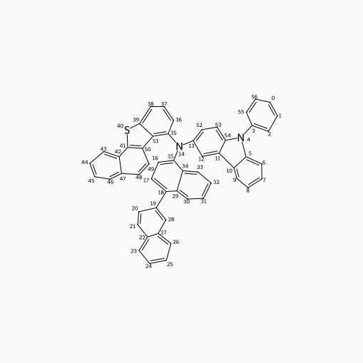 c1ccc(-n2c3ccccc3c3cc(N(c4ccc(-c5ccc6ccccc6c5)c5ccccc45)c4cccc5sc6c7ccccc7ccc6c45)ccc32)cc1